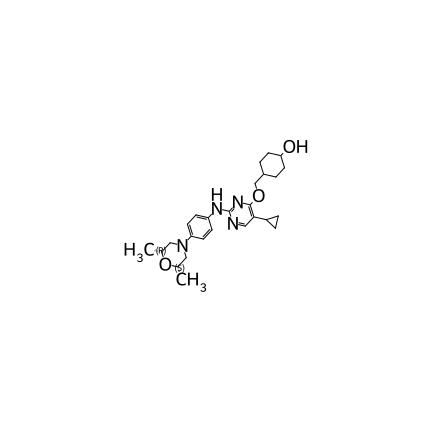 C[C@@H]1CN(c2ccc(Nc3ncc(C4CC4)c(OCC4CCC(O)CC4)n3)cc2)C[C@H](C)O1